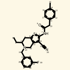 CCC1Cc2sc(NC(=O)Cc3ccc(C)cc3)c(C#N)c2CN1Cc1cccc(F)c1